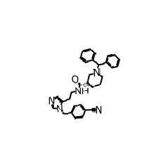 N#Cc1ccc(Cn2cncc2CCNC(=O)[C@H]2CCCN(C(c3ccccc3)c3ccccc3)C2)cc1